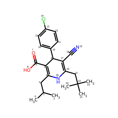 CC(C)CC1=C(C(=O)O)C(c2ccc(Cl)cc2)C(C#N)=C(CC(C)(C)C)N1